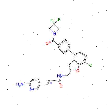 Nc1ccc(/C=C/C(=O)NCC2Cc3c(-c4ccc(C(=O)N5CC(F)(F)C5)cc4)ccc(Cl)c3O2)cn1